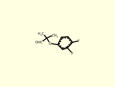 CC(C)(C=O)Oc1ccc(F)c(F)c1